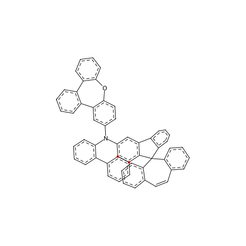 C1=Cc2ccccc2C2(c3ccccc31)c1ccccc1-c1cc(N(c3ccc4c(c3)-c3ccccc3-c3ccccc3O4)c3ccccc3-c3ccccc3)ccc12